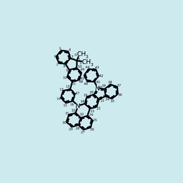 CC1(C)c2ccccc2-c2cc(-c3cccc(N4c5cc6c(cc5-c5cccc7cccc4c57)c4ccccc4n6-c4ccccc4)c3)ccc21